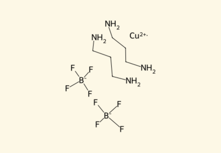 F[B-](F)(F)F.F[B-](F)(F)F.NCCCN.NCCCN.[Cu+2]